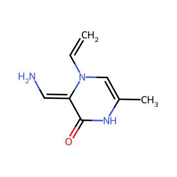 C=CN1C=C(C)NC(=O)/C1=C/N